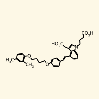 Cc1ccc(OCCCCOc2ccc(C=Cc3cccc4c3c(CC(=O)O)cn4CCCC(=O)O)cc2)c(C)c1